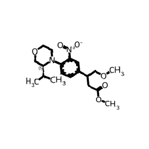 COCC(CC(=O)OC)c1ccc(N2CCOC[C@@H]2C(C)C)c([N+](=O)[O-])c1